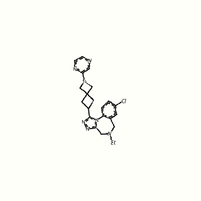 CCN1Cc2cc(Cl)ccc2-n2c(nnc2C2CC3(C2)CN(c2cnccn2)C3)C1